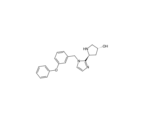 O[C@H]1CN[C@H](c2nccn2Cc2cccc(Oc3ccccc3)c2)C1